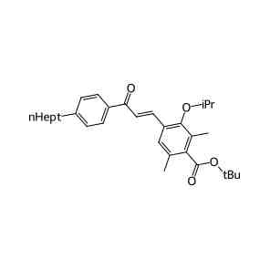 CCCCCCCc1ccc(C(=O)/C=C/c2cc(C)c(C(=O)OC(C)(C)C)c(C)c2OC(C)C)cc1